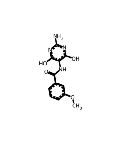 COc1cccc(C(=O)Nc2c(O)nc(N)nc2O)c1